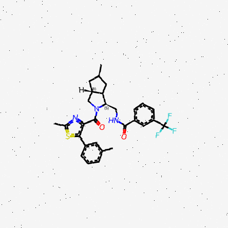 Cc1cccc(-c2sc(C)nc2C(=O)N2C[C@@H]3CC(C)CC3[C@H]2CNC(=O)c2cccc(C(F)(F)F)c2)c1